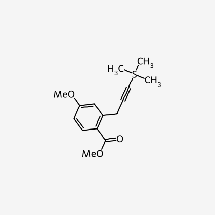 COC(=O)c1ccc(OC)cc1CC#CS(C)(C)C